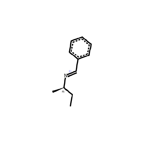 CC[C@@H](C)/N=C/c1ccccc1